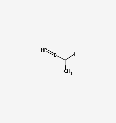 CC(I)B=P